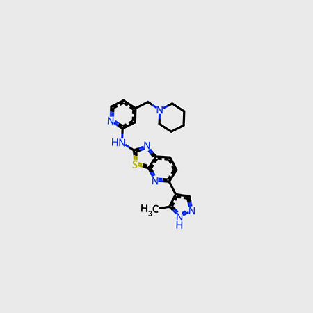 Cc1[nH]ncc1-c1ccc2nc(Nc3cc(CN4CCCCC4)ccn3)sc2n1